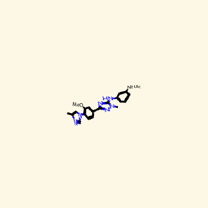 COc1cc(-c2nc(Nc3cccc(NC(C)=O)c3)n(C)n2)ccc1-n1cnc(C)c1